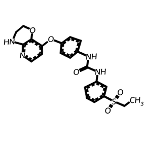 CCS(=O)(=O)c1cccc(NC(=O)Nc2ccc(Oc3ccnc4c3OCCN4)cc2)c1